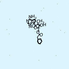 C[C@@H]1[C@H](O)[C@@H](COC(=O)Cc2ccccc2)O[C@@]1(C#N)c1ccc2c(N)ncnn12